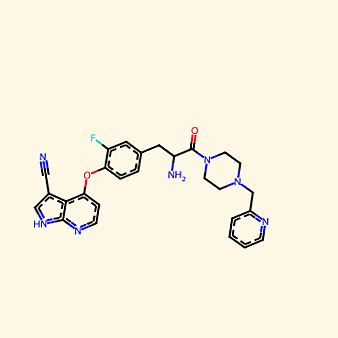 N#Cc1c[nH]c2nccc(Oc3ccc(CC(N)C(=O)N4CCN(Cc5ccccn5)CC4)cc3F)c12